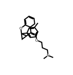 Cc1cccc(C23CC2C(=NOCCCN(C)C)C2CC=CC=C2O3)c1